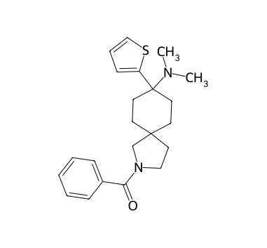 CN(C)C1(c2cccs2)CCC2(CCN(C(=O)c3ccccc3)C2)CC1